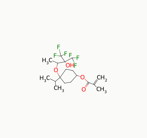 C=C(C)C(=O)OC1CCC(OC(C)C(O)(C(F)(F)F)C(F)(F)F)(C(C)C)CC1